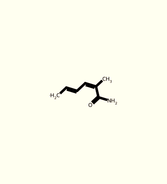 [CH2]/C=C/C=C(/C)C(N)=O